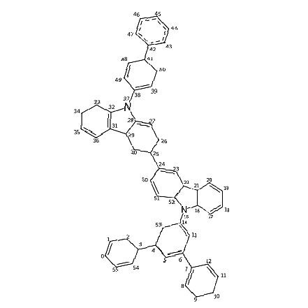 C1=CCC(C2C=C(C3=CCCC=C3)C=C(N3C4C=CC=CC4C4C=C(C5CC=C6C(C5)C5=C(CCC=C5)N6C5=CCC(c6ccccc6)C=C5)C=CC43)C2)C=C1